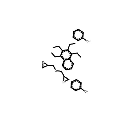 C(OCC1CO1)C1CO1.CCc1c(CC)c(CC)c2ccccc2c1CC.Oc1ccccc1.Oc1ccccc1